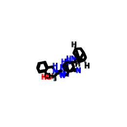 Cc1ccccc1CNc1ncc(C#N)c(NC[C@]23CC4C[C@H](C2)[C@@H](N[C@H]2CC[C@@H](NCCO)CC2)[C@@H](C4)C3)n1